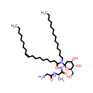 CCCCCCCC/C=C\CCCCCCCC(=O)N(CCCCCCCCCCCCCC)[C@@]1(NC(=O)[C@H](C)NC(=O)CN)C[C@@H](O)[C@H](O)[C@@H](CO)O1